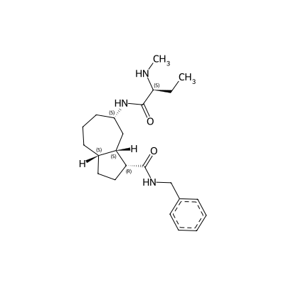 CC[C@H](NC)C(=O)N[C@H]1CCC[C@H]2CC[C@@H](C(=O)NCc3ccccc3)[C@H]2C1